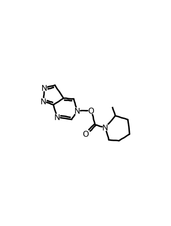 CC1CCCCN1C(=O)On1cnc2nncc-2c1